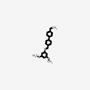 C=Cc1ccc(-c2ccc(C=Nc3cc(N=C)cc(N=C)c3)cc2)cc1